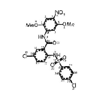 COc1cc([N+](=O)[O-])c(OC)cc1NC(=O)c1cc(Cl)ccc1NS(=O)(=O)c1ccc(Cl)cc1